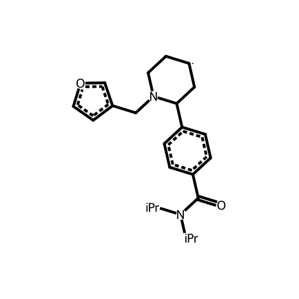 CC(C)N(C(=O)c1ccc(C2C[CH]CCN2Cc2ccoc2)cc1)C(C)C